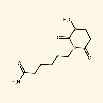 CC1CCC(=O)N(CCCCCC(N)=O)C1=O